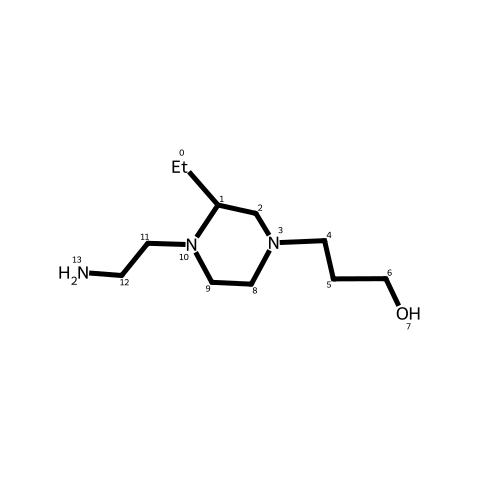 CCC1CN(CCCO)CCN1CCN